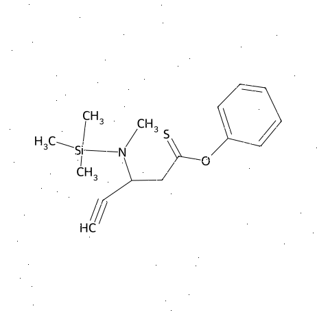 C#CC(CC(=S)Oc1ccccc1)N(C)[Si](C)(C)C